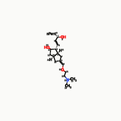 CCCCC[C@H](O)/C=C/[C@@H]1[C@H]2C/C(=C/OCCN(C)C)C[C@H]2C[C@H]1O